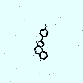 Clc1ccc(-c2cc3c(ccc4ccccc43)o2)cc1